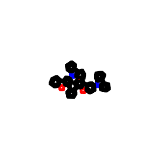 C1=Cc2c(c3ccccc3n2-c2cc(-c3ccccc3-c3cccc4c3oc3ccc(-n5c6ccccc6c6ccccc65)cc34)c3oc4ccccc4c3c2)CC1